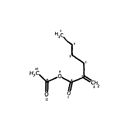 C=C(CCCC)C(=O)OC(C)=O